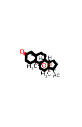 CC(=O)[C@H]1CC[C@H]2[C@@H]3CCC4=CC(=O)CC[C@]4(C)C3(O)CC[C@]12C